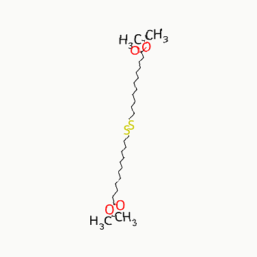 CC(C)OC(=O)CCCCCCCCCCCCSSCCCCCCCCCCCCC(=O)OC(C)C